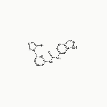 CC(C)n1cnnc1-c1cccc(NC(=O)Nc2ccc3cc[nH]c3c2)n1